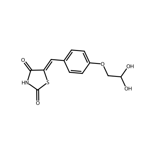 O=C1NC(=O)/C(=C/c2ccc(OCC(O)O)cc2)S1